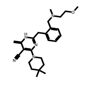 C=C1NC(Cc2ccccc2CN(C)CCOC)=NC(N2CCC(C)(C)CC2)=C1C#N